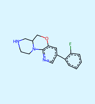 Fc1ccccc1-c1cnc2c(c1)OCC1CNCCN21